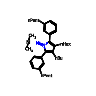 CCCCCCC1=C(c2cccc(CCCCC)c2)[N+](=[N-])C(c2cccc(CCCCC)c2)=C1CCCC.[CH3][Ni][CH3]